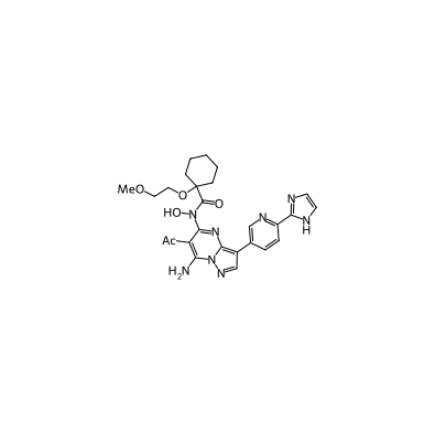 COCCOC1(C(=O)N(O)c2nc3c(-c4ccc(-c5ncc[nH]5)nc4)cnn3c(N)c2C(C)=O)CCCCC1